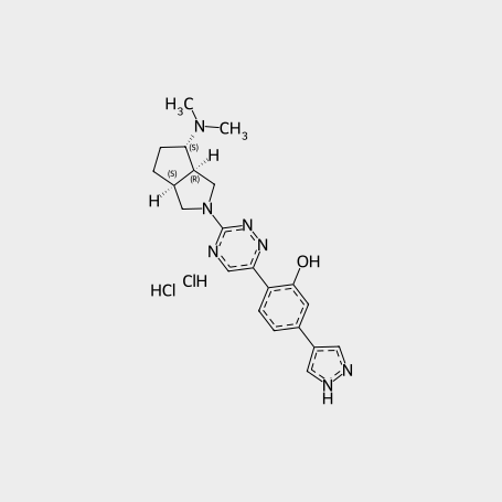 CN(C)[C@H]1CC[C@@H]2CN(c3ncc(-c4ccc(-c5cn[nH]c5)cc4O)nn3)C[C@@H]21.Cl.Cl